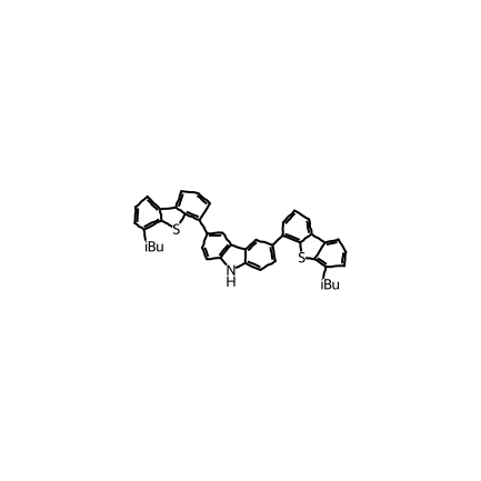 CCC(C)c1cccc2c1sc1c(-c3ccc4[nH]c5ccc(-c6cccc7c6sc6c(C(C)CC)cccc67)cc5c4c3)cccc12